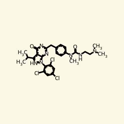 CC(C)c1[nH]n(-c2c(Cl)cc(Cl)cc2Cl)c2nc(Cc3ccc(N(C)C(=O)NCCN(C)C)cc3)nc(=O)c1-2